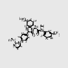 CCCc1nccn1-c1ccc(C2=NC3(CCCCC3)N(CC(=O)Nc3cccc(C(F)(F)F)c3)C2=O)cc1.Cl